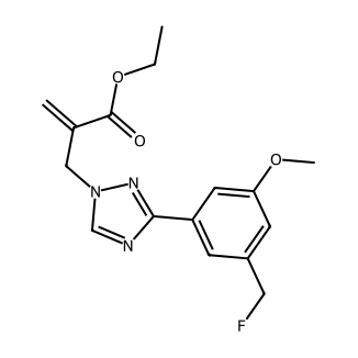 C=C(Cn1cnc(-c2cc(CF)cc(OC)c2)n1)C(=O)OCC